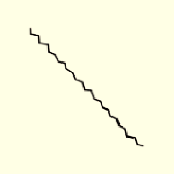 CCC=CCC=CCC=CCCCCCCCCCCCCCCCCC